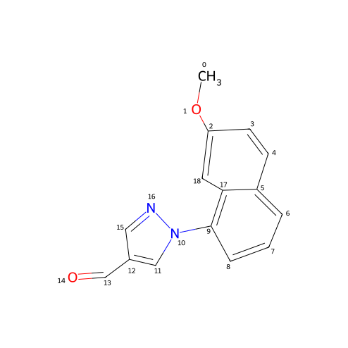 COc1ccc2cccc(-n3cc(C=O)cn3)c2c1